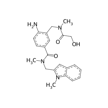 CN(Cc1cc(C(=O)N(C)Cc2cc3ccccc3n2C)ccc1N)C(=O)CO